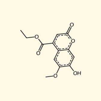 CCOC(=O)c1cc(=O)oc2cc(O)c(OC)cc12